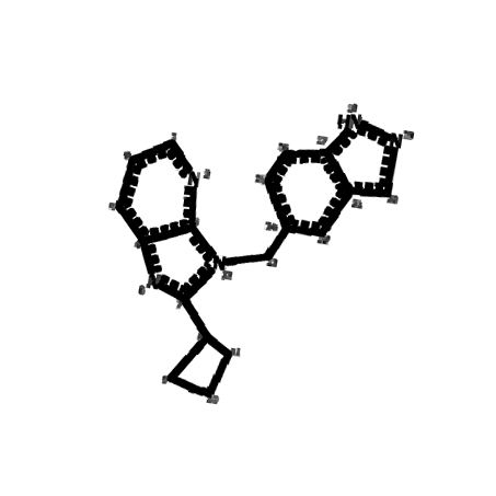 c1cnc2c(c1)nc(C1CCC1)n2Cc1ccc2[nH]ncc2c1